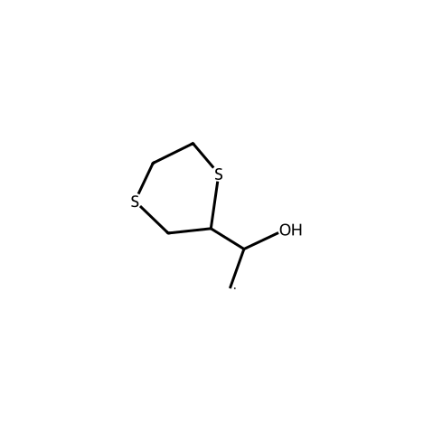 [CH2]C(O)C1CSCCS1